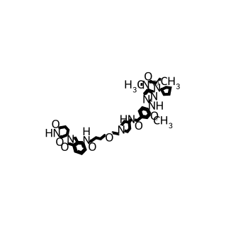 CC[C@@H]1C(=O)N(C)c2cnc(Nc3ccc(C(=O)NC4CCN(CCOCCCC(=O)Nc5cccc6c5CN(C5CCC(=O)NC5=O)C6=O)CC4)cc3OC)nc2N1C1CCCC1